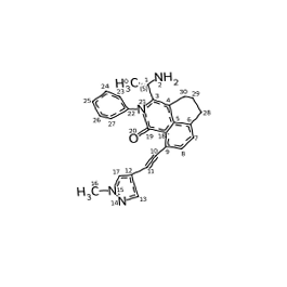 C[C@H](N)c1c2c3c(ccc(C#Cc4cnn(C)c4)c3c(=O)n1-c1ccccc1)CCC2